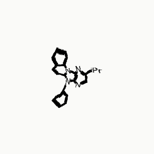 CC(C)c1cnc2c(n1)N1c3ccccc3C=CC1N2c1ccccc1